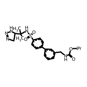 CC(C)OC(=O)NCc1cccc(-c2ccc(S(=O)(=O)NC(C)(C)C3CN=NN3)cc2)c1